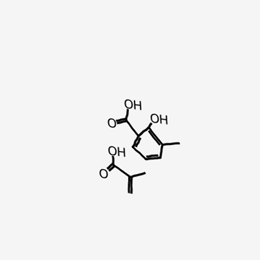 C=C(C)C(=O)O.Cc1cccc(C(=O)O)c1O